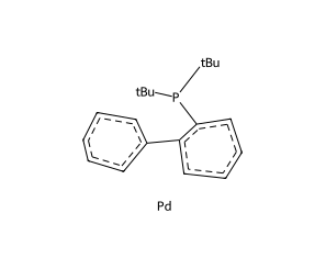 CC(C)(C)P(c1ccccc1-c1ccccc1)C(C)(C)C.[Pd]